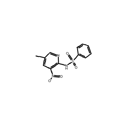 Cc1cnc(NS(=O)(=O)c2ccccc2)c([N+](=O)[O-])c1